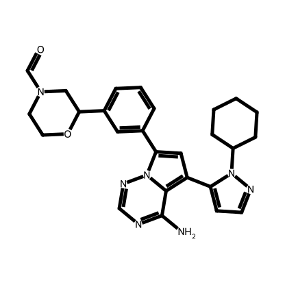 Nc1ncnn2c(-c3cccc(C4CN(C=O)CCO4)c3)cc(-c3ccnn3C3CCCCC3)c12